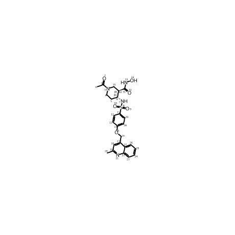 CC(=O)N1CC[C@@H](NS(=O)(=O)c2ccc(OCc3cc(C)nc4ccccc34)cc2)[C@H](C(=O)NO)C1